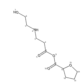 O=C(CCNCCO)OC(=O)C1CCCO1